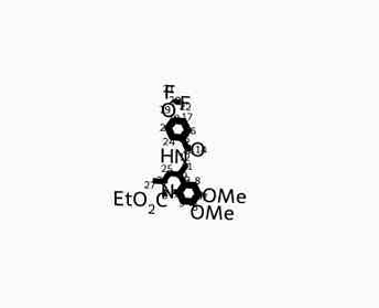 CCOC(=O)N1c2cc(OC)c(OC)cc2C(CNC(=O)c2ccc(OC(F)F)cc2)CC1C